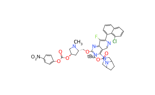 CN1C[C@H](OC(=O)Oc2ccc([N+](=O)[O-])cc2)C[C@H]1COc1nc(N2CC3CCC(C2)N3C(=O)OC(C)(C)C)c2cnc(-c3cccc4cccc(Cl)c34)c(F)c2n1